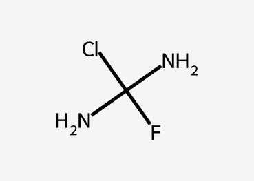 NC(N)(F)Cl